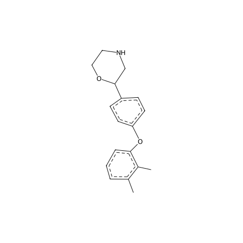 Cc1cccc(Oc2ccc(C3CNCCO3)cc2)c1C